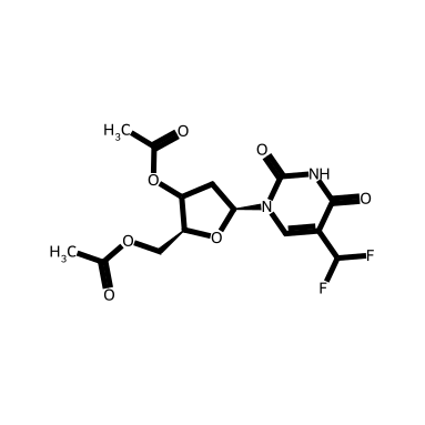 CC(=O)OC[C@@H]1O[C@H](n2cc(C(F)F)c(=O)[nH]c2=O)CC1OC(C)=O